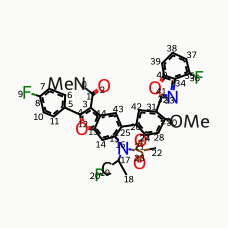 CNC(=O)c1c(-c2ccc(F)cc2)oc2cc(N(C(C)CF)S(C)(=O)=O)c(-c3ccc(OC)c(-c4nc5c(F)cccc5o4)c3)cc12